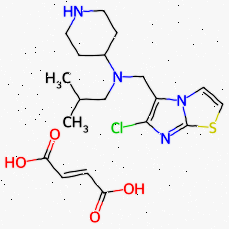 CC(C)CN(Cc1c(Cl)nc2sccn12)C1CCNCC1.O=C(O)C=CC(=O)O